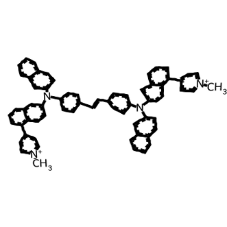 C[n+]1ccc(-c2cccc3cc(N(c4ccc(/C=C/c5ccc(N(c6ccc7ccccc7c6)c6ccc7c(-c8cc[n+](C)cc8)cccc7c6)cc5)cc4)c4ccc5ccccc5c4)ccc23)cc1